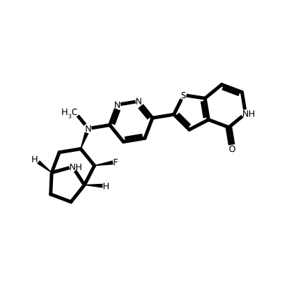 CN(c1ccc(-c2cc3c(=O)[nH]ccc3s2)nn1)[C@@H]1C[C@H]2CC[C@H](N2)[C@@H]1F